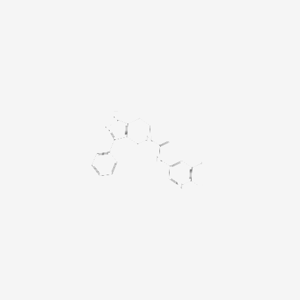 O=C(Nc1cnc(Cl)c(Cl)c1)N1CCc2[nH]nc(-c3ccccc3)c2C1